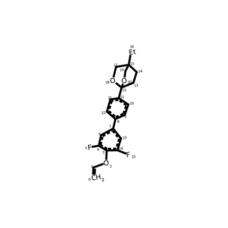 C=COc1c(F)cc(-c2ccc(C34CCC(CC)(CO3)CO4)cc2)cc1F